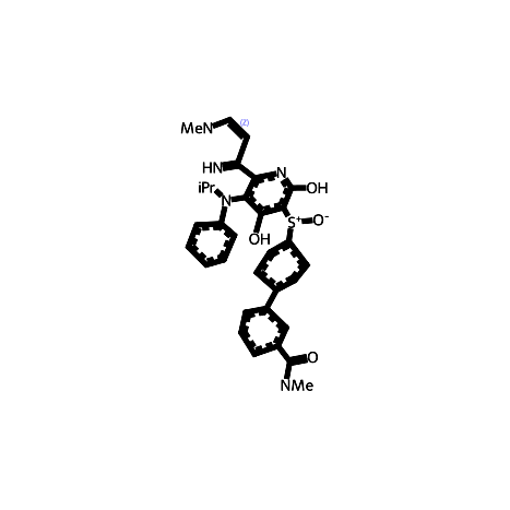 CN/C=C\C(=N)c1nc(O)c([S+]([O-])c2ccc(-c3cccc(C(=O)NC)c3)cc2)c(O)c1N(c1ccccc1)C(C)C